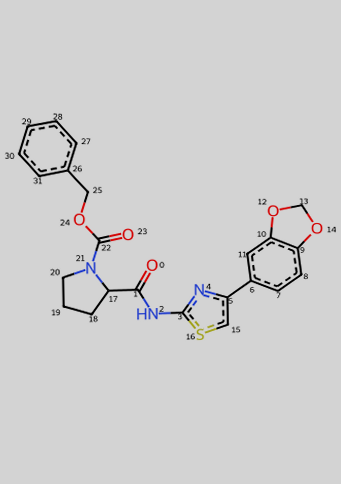 O=C(Nc1nc(-c2ccc3c(c2)OCO3)cs1)C1CCCN1C(=O)OCc1ccccc1